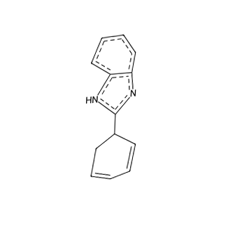 C1=CCC(c2nc3ccccc3[nH]2)C=C1